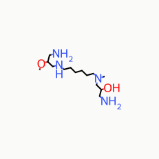 COC(CN)CNCCCCCCN(C)CC(O)CN